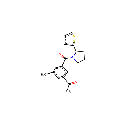 CC(=O)c1cc(C)cc(C(=O)N2CCCC2c2cccs2)c1